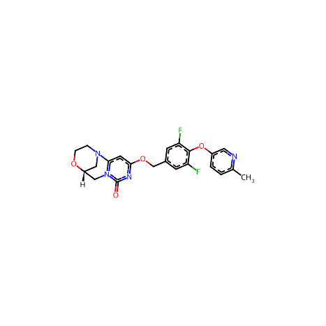 Cc1ccc(Oc2c(F)cc(COc3cc4n(c(=O)n3)C[C@H]3CN4CCO3)cc2F)cn1